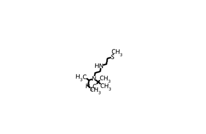 CCC(C)N(CCNCCSC)C(C)(C)C